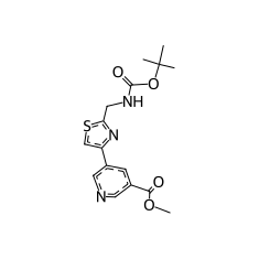 COC(=O)c1cncc(-c2csc(CNC(=O)OC(C)(C)C)n2)c1